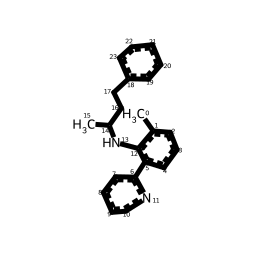 Cc1cccc(-c2c[c]ccn2)c1NC(C)CCc1ccccc1